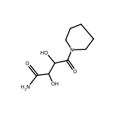 NC(=O)C(O)C(O)C(=O)N1CCCCC1